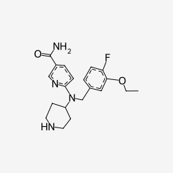 CCOc1cc(CN(c2ccc(C(N)=O)cn2)C2CCNCC2)ccc1F